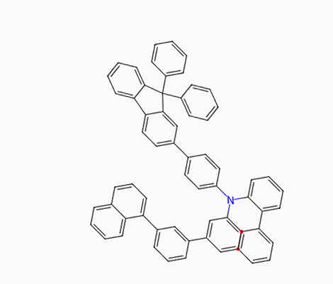 c1ccc(-c2ccccc2N(c2ccc(-c3ccc4c(c3)C(c3ccccc3)(c3ccccc3)c3ccccc3-4)cc2)c2cccc(-c3cccc(-c4cccc5ccccc45)c3)c2)cc1